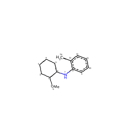 COC1CCCCC1Nc1ccccc1C